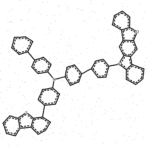 c1ccc(-c2ccc(N(c3ccc(-c4ccc(-n5c6ccccc6c6cc7oc8ccccc8c7cc65)cc4)cc3)c3ccc(-c4cccc5c4sc4ccccc45)cc3)cc2)cc1